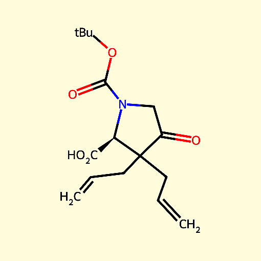 C=CCC1(CC=C)C(=O)CN(C(=O)OC(C)(C)C)[C@@H]1C(=O)O